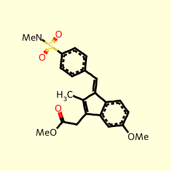 CNS(=O)(=O)c1ccc(C=C2C(C)=C(CC(=O)OC)c3cc(OC)ccc32)cc1